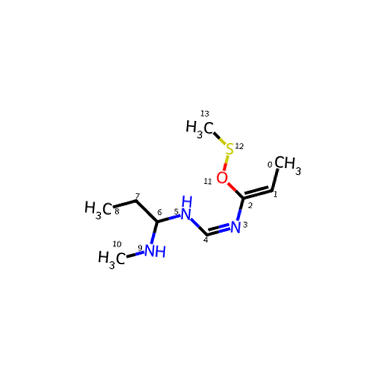 CC=C(/N=C\NC(CC)NC)OSC